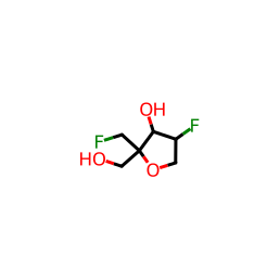 OCC1(CF)OCC(F)C1O